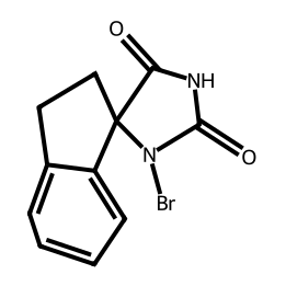 O=C1NC(=O)C2(CCc3ccccc32)N1Br